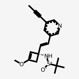 CC#Cc1cncc(/C=C/[C@]2(N[S+]([O-])C(C)(C)C)C=C(OC)C2)c1